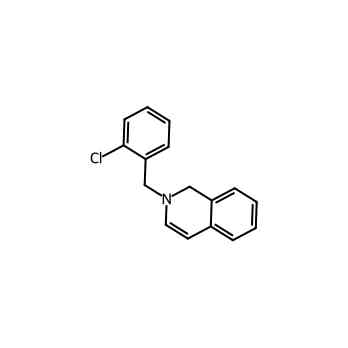 Clc1ccccc1CN1C=Cc2ccccc2C1